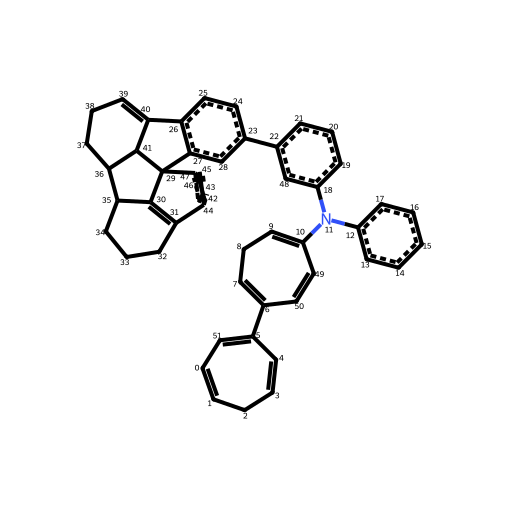 C1=CCC=CC(C2=CCC=C(N(c3ccccc3)c3cccc(-c4ccc5c(c4)C46C7=C(CCCC7C7CCC=C5C74)c4ccccc46)c3)C=C2)=C1